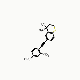 CCOC(=O)c1ccc(C#Cc2ccc3c(c2)C(C)(C)CCS3)c([N+](=O)[O-])c1